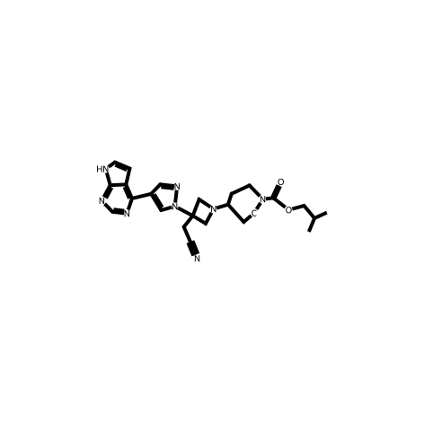 CC(C)COC(=O)N1CCC(N2CC(CC#N)(n3cc(-c4ncnc5[nH]ccc45)cn3)C2)CC1